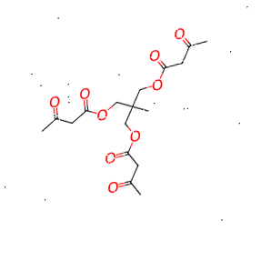 CC(=O)CC(=O)OCC(C)(COC(=O)CC(C)=O)COC(=O)CC(C)=O